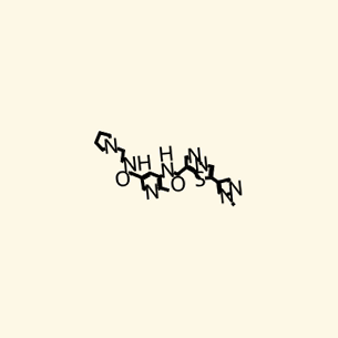 Cc1ncc(C(=O)NCCN2CCCC2)cc1NC(=O)c1cnn2cc(-c3cnn(C)c3)sc12